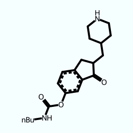 CCCCNC(=O)Oc1ccc2c(c1)C(=O)C(CC1CCNCC1)C2